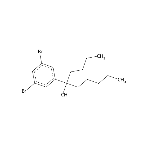 CCCCCC(C)(CCCC)c1cc(Br)cc(Br)c1